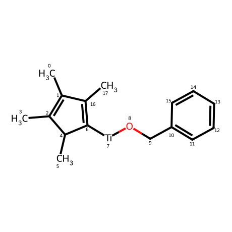 CC1=C(C)C(C)[C]([Ti][O]Cc2ccccc2)=C1C